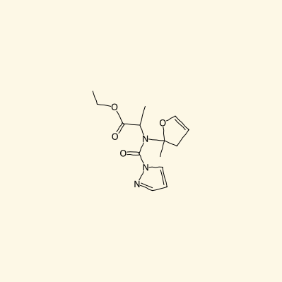 CCOC(=O)C(C)N(C(=O)n1cccn1)C1(C)CC=CO1